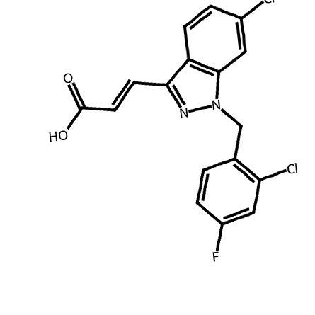 O=C(O)C=Cc1nn(Cc2ccc(F)cc2Cl)c2cc(Cl)ccc12